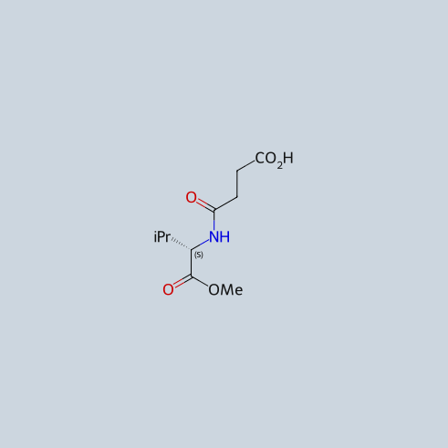 COC(=O)[C@@H](NC(=O)CCC(=O)O)C(C)C